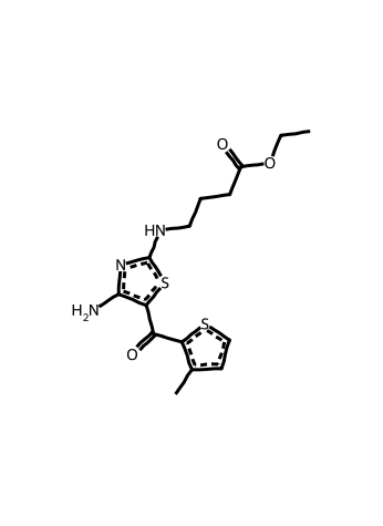 CCOC(=O)CCCNc1nc(N)c(C(=O)c2sccc2C)s1